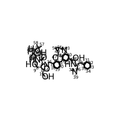 C[C@@H]1[C@@H](NC(=O)[C@@H]2[C@H]([C@H](C)O)[C@H](CO)ON2Cc2cccc(-c3cc(C(O)N[C@@H](Cc4ccccc4)CN(C)C)cc(N(C)C)c3)c2OCC2CC2)C[C@H]2C[C@@H]1C2(C)C